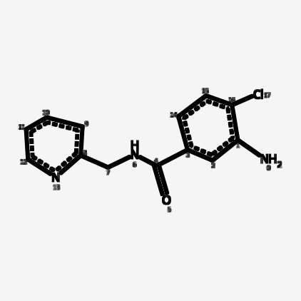 Nc1cc(C(=O)NCc2ccccn2)ccc1Cl